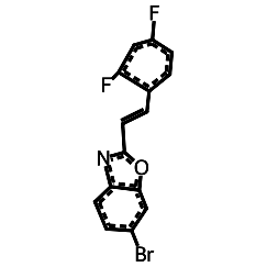 Fc1ccc(/C=C/c2nc3ccc(Br)cc3o2)c(F)c1